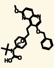 COc1ccc2ncc(OCc3ccccc3)c(CCC34CCC(N(C(=O)O)C(C)(C)C)(CC3)CO4)c2n1